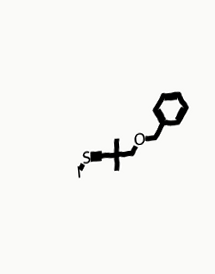 CC(C)(C#SI)COCc1ccccc1